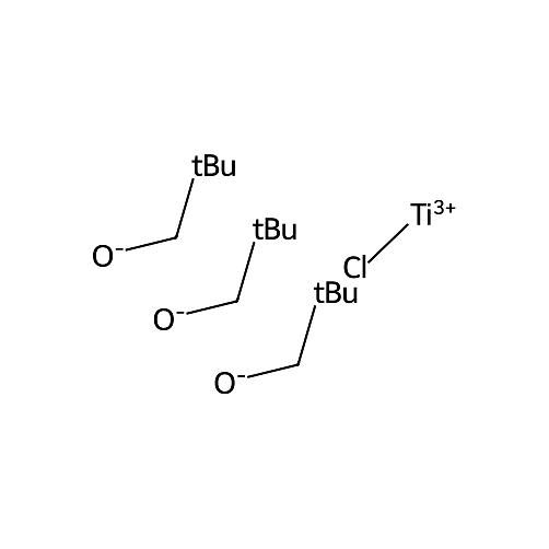 CC(C)(C)C[O-].CC(C)(C)C[O-].CC(C)(C)C[O-].[Cl][Ti+3]